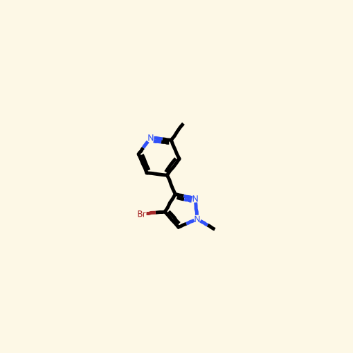 Cc1cc(-c2nn(C)cc2Br)ccn1